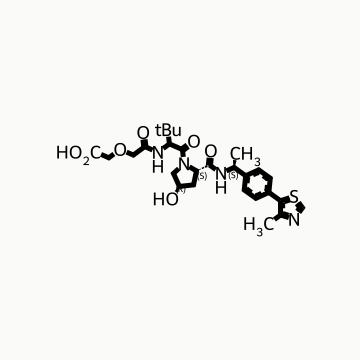 Cc1ncsc1-c1ccc([C@H](C)NC(=O)[C@@H]2C[C@@H](O)CN2C(=O)C(NC(=O)COCC(=O)O)C(C)(C)C)cc1